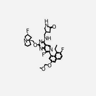 CCc1c(F)ccc2cc(OCOC)cc(-c3ncc4c(NCC5CNC(=O)C5)nc(OC[C@@]56CCCN5C[C@H](F)C6)nc4c3F)c12